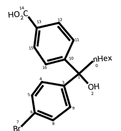 CCCCCCC(O)(c1ccc(Br)cc1)c1ccc(C(=O)O)cc1